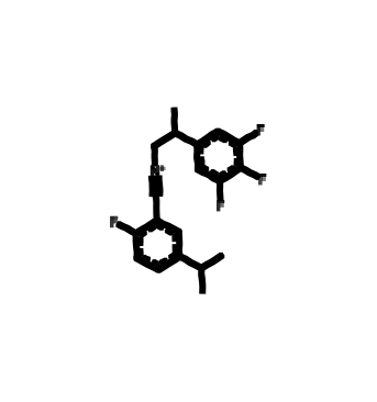 CC(C)c1ccc(F)c(C#[N+]CC(C)c2cc(F)c(F)c(F)c2)c1